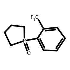 O=P1(c2ccccc2C(F)(F)F)CCCC1